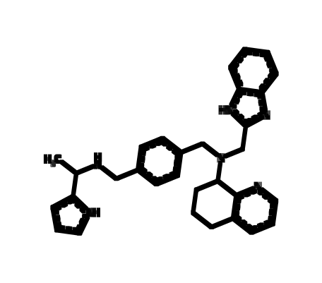 CC(NCc1ccc(CN(Cc2nc3ccccc3[nH]2)C2CCCc3cccnc32)cc1)c1ccc[nH]1